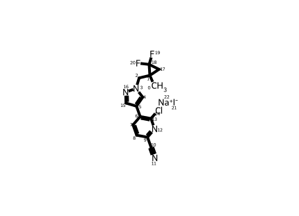 CC1(Cn2cc(-c3ccc(C#N)nc3Cl)cn2)CC1(F)F.[I-].[Na+]